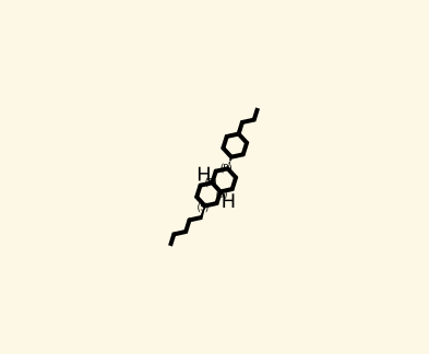 CCCCC[C@H]1CC[C@@H]2C[C@H](C3CCC(CCC)CC3)CC[C@H]2C1